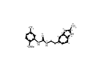 COc1ccc(C(F)(F)F)cc1NC(=O)NCCc1ccc2[nH]c(C(Cl)(Cl)Cl)nc2c1